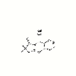 CC1(C)CON(Cc2ccccc2Cl)C1=O.[NaH].[NaH]